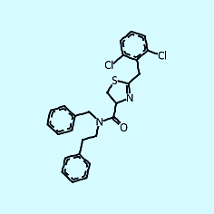 O=C(C1CSC(Cc2c(Cl)cccc2Cl)=N1)N(CCc1ccccc1)Cc1ccccc1